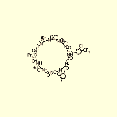 CC[C@H](C)[C@@H]1NC(=O)[C@H](CC(C)C)N(C)C(=O)C[C@@H](C)N(C)C(=O)[C@H](C(C)C)N(C)C(=O)C2(CCCC2)NC(=O)[C@@H]2CCCN2C(=O)[C@H](CCc2ccc(C(F)(F)F)c(Cl)c2)NC(=O)CN(C)C(=O)[C@H](Cc2ccc(C)cc2)N(C)C(=O)CN(C)C(=O)CN(C)C1=O